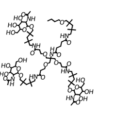 CCCCOCC(C)(C)CC(C)(C)CNC(=O)CCCC(=O)NC(COCCC(=O)NCC(C)(C)CC(C)(C)COC1OC(CO)C(O)C(O)C1NC(C)=O)(COCCC(=O)NCC(C)(C)CC(C)(C)COC1OC(CO)C(O)C(O)C1NC(C)=O)COCCC(=O)NCC(C)(C)CC(C)(C)COC1OC(CO)C(O)C(O)C1NC(C)=O